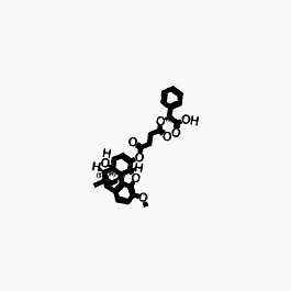 COc1ccc2c3c1O[C@H]1C(OC(=O)CCC(=O)O[C@H](C(=O)O)c4ccccc4)=CC[C@@]4(O)[C@@H](C2)C(C)CC[C@]314